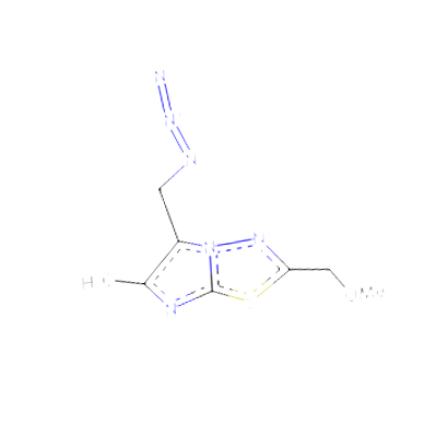 COCc1nn2c(CN=[N+]=[N-])c(C)nc2s1